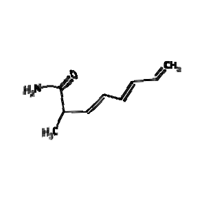 C=CC=CC=CC(C)C(N)=O